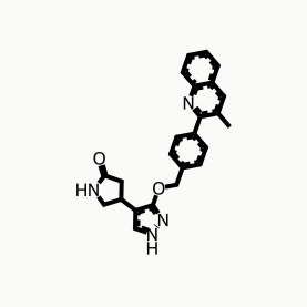 Cc1cc2ccccc2nc1-c1ccc(COc2n[nH]cc2C2CNC(=O)C2)cc1